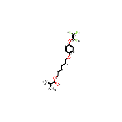 C=C(C)C(=O)OCCCCCCOc1ccc(OC(F)=C(F)F)cc1